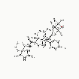 O=C1NC(=O)C2(COCCC2NC(=O)N2CC[C@@]3(S(=O)(=O)c4ccc(F)cc4)c4ccc(C(F)(C(F)(F)F)C(F)(F)F)cc4CC[C@@H]23)N1